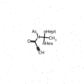 C#CC(=O)N(C(C)=O)C(C)(CCCCCC)CCCCCCC